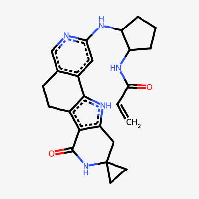 C=CC(=O)NC1CCCC1Nc1cc2c(cn1)CCc1c-2[nH]c2c1C(=O)NC1(CC1)C2